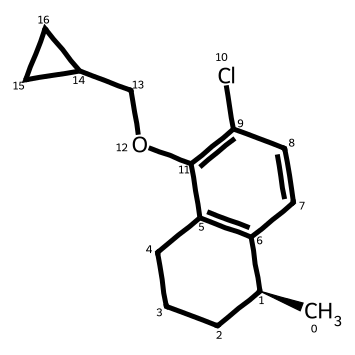 C[C@H]1CCCc2c1ccc(Cl)c2OCC1CC1